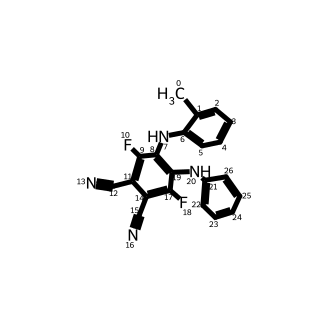 Cc1ccccc1Nc1c(F)c(C#N)c(C#N)c(F)c1Nc1ccccc1